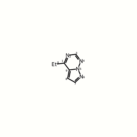 CCc1ncnn2nccc12